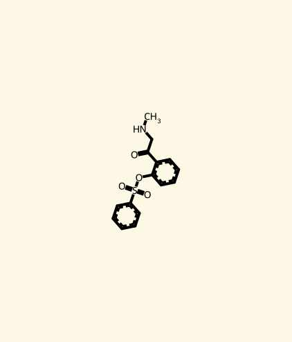 CNCC(=O)c1ccccc1OS(=O)(=O)c1ccccc1